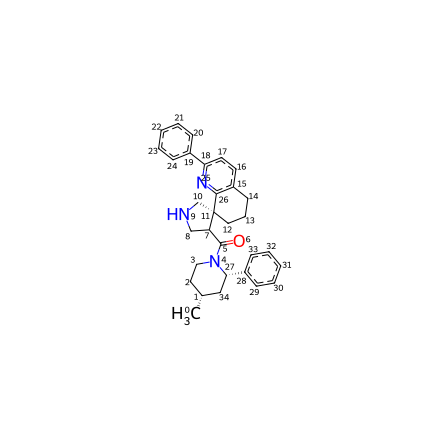 C[C@@H]1CCN(C(=O)C2CNC[C@]23CCCc2ccc(-c4ccccc4)nc23)[C@H](c2ccccc2)C1